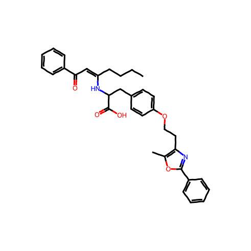 CCCC/C(=C/C(=O)c1ccccc1)NC(Cc1ccc(OCCc2nc(-c3ccccc3)oc2C)cc1)C(=O)O